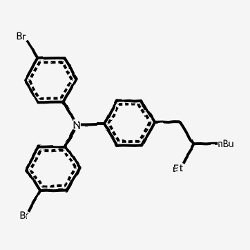 CCCCC(CC)Cc1ccc(N(c2ccc(Br)cc2)c2ccc(Br)cc2)cc1